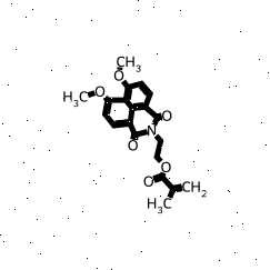 C=C(C)C(=O)OCCN1C(=O)c2ccc(OC)c3c(OC)ccc(c23)C1=O